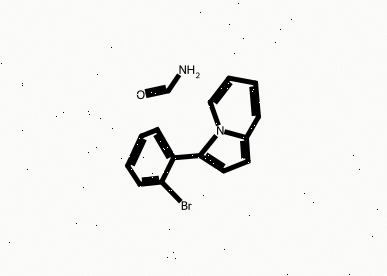 Brc1ccccc1-c1ccc2ccccn12.NC=O